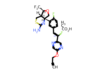 C#CCOc1cnc(/C(F)=C/c2ccc(F)c([C@]34CO[C@H](C(F)(F)F)[C@H]3CSC(N)=N4)c2)cn1.CC(=O)O